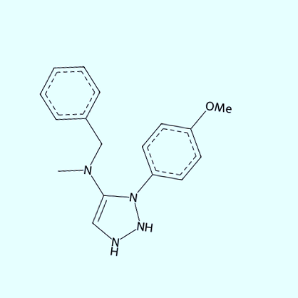 COc1ccc(N2NNC=C2N(C)Cc2ccccc2)cc1